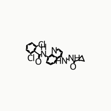 O=C(Nc1cccc2c(NNC(=O)C3CC3)ccnc12)c1c(Cl)cccc1Cl